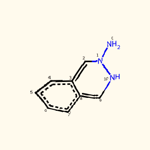 NN1C=c2ccc[c]c2=CN1